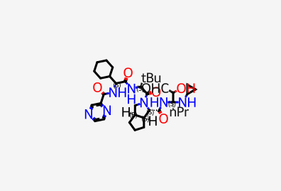 CCC[C@@](NC(=O)[C@@H]1[C@H]2CCC[C@H]2CN1C(=O)[C@@H](NC(=O)[C@@H](NC(=O)c1cnccn1)C1CCCCC1)C(C)(C)C)(NC1CC1)C(O)C=O